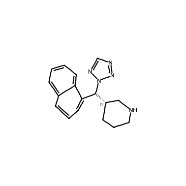 c1ccc2c(C([C@H]3CCCNC3)n3ncnn3)cccc2c1